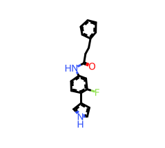 O=C(CCc1ccccc1)Nc1ccc(-c2cc[nH]c2)c(F)c1